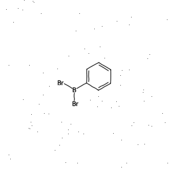 BrB(Br)c1ccccc1